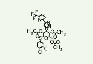 CC(=O)OC[C@H]1O[C@H](Sc2ccc(Cl)c(Cl)c2)[C@H](OC(C)=O)[C@@H](n2cc(-c3nc(C(F)(F)F)cs3)nn2)[C@H]1OC(C)=O